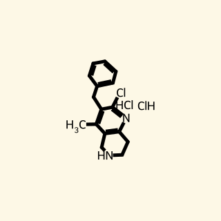 Cc1c(Cc2ccccc2)c(Cl)nc2c1CNCC2.Cl.Cl